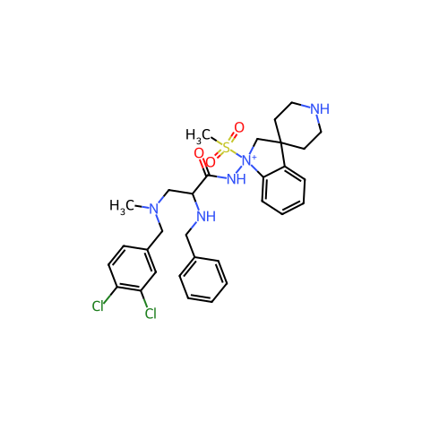 CN(Cc1ccc(Cl)c(Cl)c1)CC(NCc1ccccc1)C(=O)N[N+]1(S(C)(=O)=O)CC2(CCNCC2)c2ccccc21